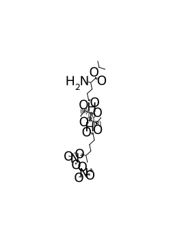 CC(C)OC(=O)C(N)CCC(=O)O[C@@H]1CO[C@H]2[C@@H]1OC[C@H]2OC(=O)CCCC(CO[N+](=O)[O-])O[N+](=O)[O-]